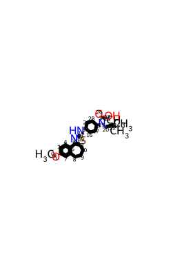 COc1ccc2c(c1)CCCc1sc(N[C@H]3CC[C@H](N(CC(C)(C)C)C(=O)O)CC3)nc1-2